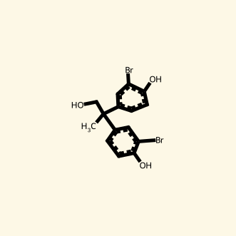 CC(CO)(c1ccc(O)c(Br)c1)c1ccc(O)c(Br)c1